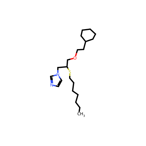 CCCCCCCSC(COCCC1CCCCC1)Cn1ccnc1